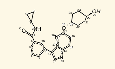 O=C(NC1CC1)c1cccc(-c2cnc3ccc(O[C@H]4CC[C@H](O)CC4)nn23)c1